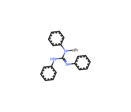 CCCN(C(=Nc1ccccc1)Nc1ccccc1)c1ccccc1